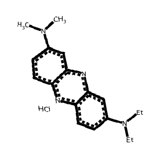 CCN(CC)c1ccc2nc3ccc(N(C)C)cc3nc2c1.Cl